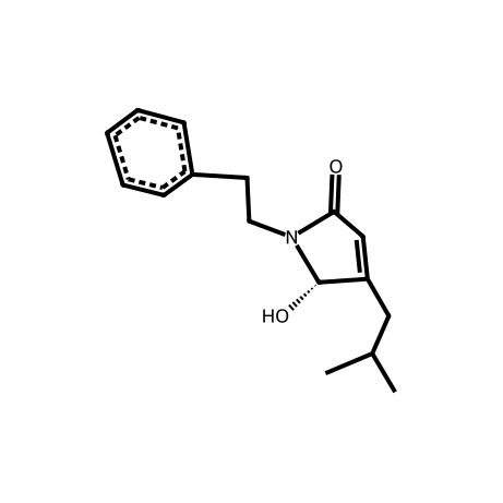 CC(C)CC1=CC(=O)N(CCc2ccccc2)[C@H]1O